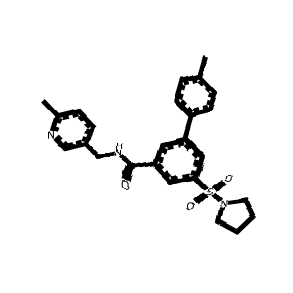 Cc1ccc(-c2cc(C(=O)NCc3ccc(C)nc3)cc(S(=O)(=O)N3CCCC3)c2)cc1